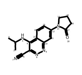 CC(C)Nc1c(C#N)nnc2cc(N3CCCC3=O)ccc12